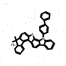 CC1(C)c2ccc3sc4c(ccc5c6ccccc6n(-c6ccc(-c7ccccc7)cc6)c54)c3c2C2=CC=CC[C@H]21